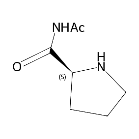 CC(=O)NC(=O)[C@@H]1CCCN1